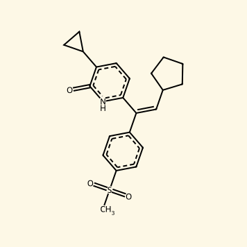 CS(=O)(=O)c1ccc(C(=CC2CCCC2)c2ccc(C3CC3)c(=O)[nH]2)cc1